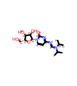 CC(C)N(/C=N/c1ccn([C@@H]2O[C@H](CO)C(O)C2O)c(=O)n1)C(C)C